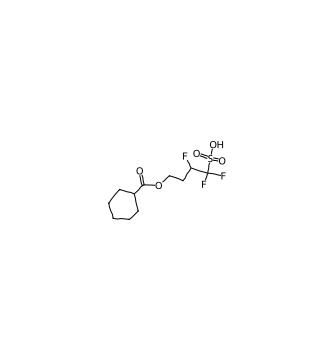 O=C(OCCC(F)C(F)(F)S(=O)(=O)O)C1CCCCC1